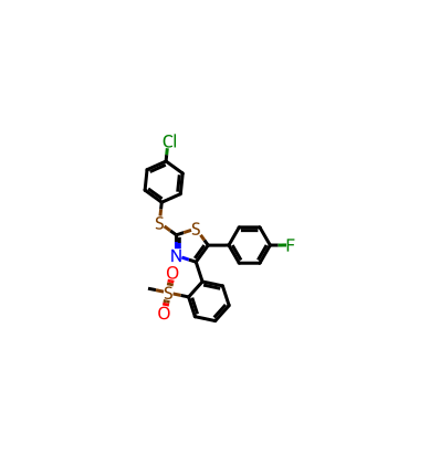 CS(=O)(=O)c1ccccc1-c1nc(Sc2ccc(Cl)cc2)sc1-c1ccc(F)cc1